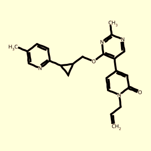 C=CCn1ccc(-c2cnc(C)nc2OCC2CC2c2ccc(C)cn2)cc1=O